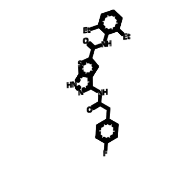 CCc1cccc(CC)c1NC(=O)c1cc2c(NC(=O)Cc3ccc(F)cc3)n[nH]c2s1